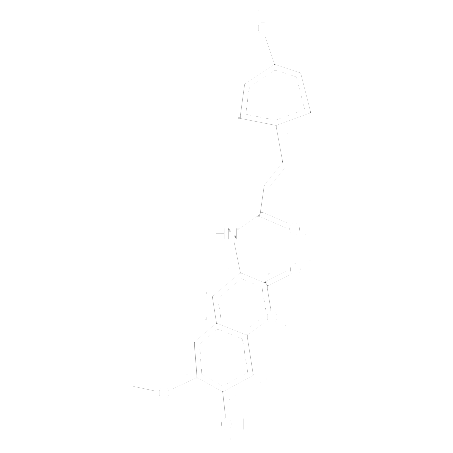 COc1cc2cc(NC(=O)/C=C/c3ccc(Cl)cc3)c(=O)oc2cc1O